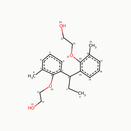 CCC(c1cccc(C)c1OCCO)c1cccc(C)c1OCCO